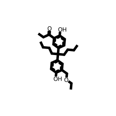 CCCCC(CCCC)(c1ccc(O)c(COCC)c1)c1ccc(O)c(C(=O)CC)c1